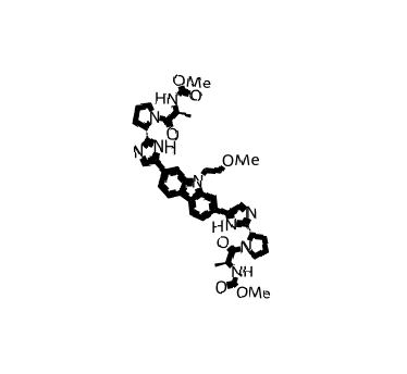 COCCn1c2cc(-c3cnc([C@@H]4CCCN4C(=O)[C@H](C)NC(=O)OC)[nH]3)ccc2c2ccc(-c3cnc([C@@H]4CCCN4C(=O)[C@H](C)NC(=O)OC)[nH]3)cc21